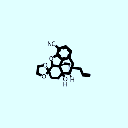 C=CCN1CC[C@]23c4c5ccc(C#N)c4OC2C2(CCC3(O)[C@H]1C5)OCCO2